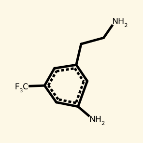 NCCc1cc(N)cc(C(F)(F)F)c1